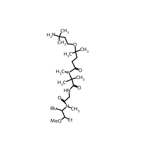 CCC(C)C(C(CC)OC)N(C)C(=O)CNC(=O)C(C)(C)N(C)C(=O)CCC(C)(C)OCCC(C)(C)N